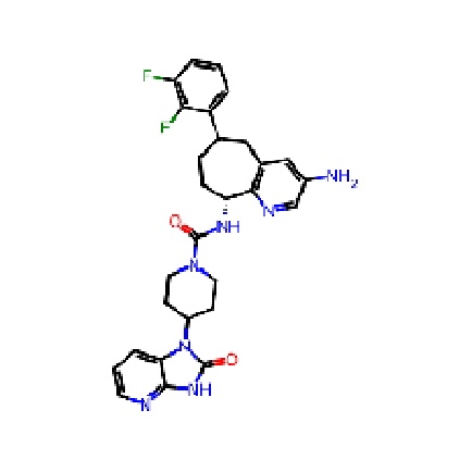 Nc1cnc2c(c1)C[C@H](c1cccc(F)c1F)CC[C@H]2NC(=O)N1CCC(n2c(=O)[nH]c3ncccc32)CC1